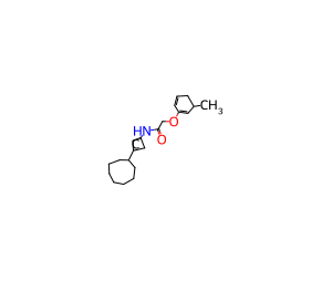 CC1C=C(OCC(=O)NC23CC(C4CCCCCCC4)(C2)C3)C=CC1